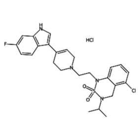 CC(C)N1Cc2c(Cl)cccc2N(CCN2CC=C(c3c[nH]c4cc(F)ccc34)CC2)S1(=O)=O.Cl